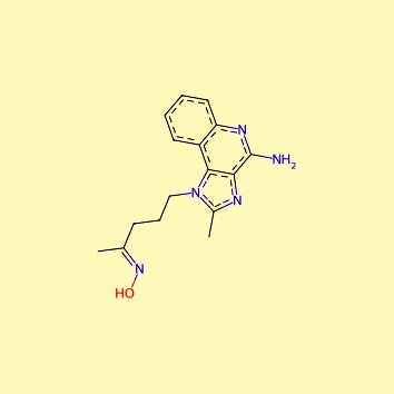 CC(CCCn1c(C)nc2c(N)nc3ccccc3c21)=NO